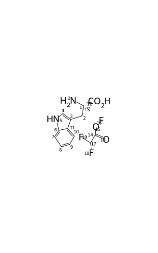 N[C@@H](Cc1c[nH]c2ccccc12)C(=O)O.O=C(OF)C(F)F